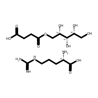 N=C(N)NCCC[C@H](N)C(=O)O.O=C(O)CCC(=O)OC[C@H](O)[C@@H](O)[C@H](O)CO